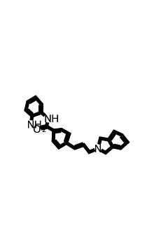 Nc1ccccc1NC(=O)c1ccc(C=CCN2Cc3ccccc3C2)cc1